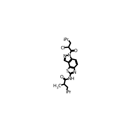 CC(C)CC(C)C(=O)Nc1nc2ccc3c(cnn3C(=O)C(Cl)CC(C)C)c2s1